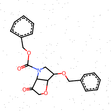 O=C1COC2C(OCc3ccccc3)CN(C(=O)OCc3ccccc3)C12